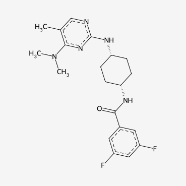 Cc1cnc(N[C@H]2CC[C@@H](NC(=O)c3cc(F)cc(F)c3)CC2)nc1N(C)C